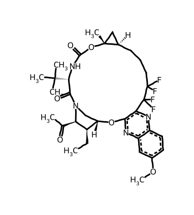 CC[C@@H]1[C@@H]2CN(C(=O)[C@H](C(C)(C)C)NC(=O)O[C@]3(C)C[C@H]3CCCC(F)(F)C(F)(F)c3nc4ccc(OC)cc4nc3O2)[C@@H]1C(C)=O